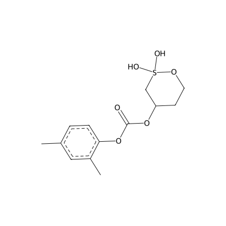 Cc1ccc(OC(=O)OC2CCOS(O)(O)C2)c(C)c1